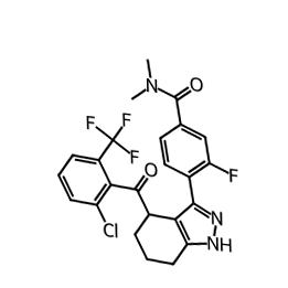 CN(C)C(=O)c1ccc(-c2n[nH]c3c2C(C(=O)c2c(Cl)cccc2C(F)(F)F)CCC3)c(F)c1